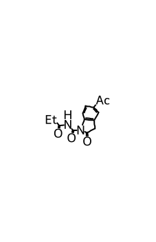 CCC(=O)NC(=O)N1C(=O)Cc2cc(C(C)=O)ccc21